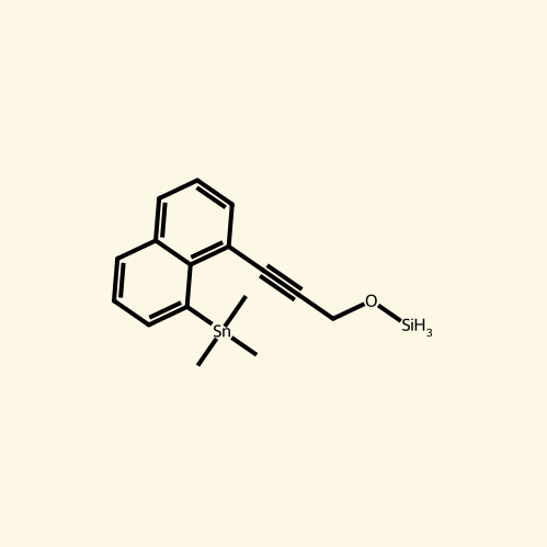 [CH3][Sn]([CH3])([CH3])[c]1cccc2cccc(C#CCO[SiH3])c12